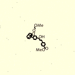 COCCOCOc1cc(C(O)C=Cc2ccc(C(=O)OC)cc2)ccc1C12CC3CC(CC(C3)C1)C2